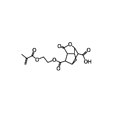 C=C(C)C(=O)OCCOC(=O)C1C2CC3C(OC(=O)C31)C2C(=O)O